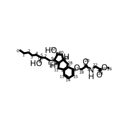 CCCCC[C@H](O)CC[C@@H]1[C@H]2Cc3cccc(OCC(=O)NCC(=O)OC)c3C[C@H]2C[C@H]1O